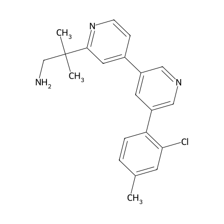 Cc1ccc(-c2cncc(-c3ccnc(C(C)(C)CN)c3)c2)c(Cl)c1